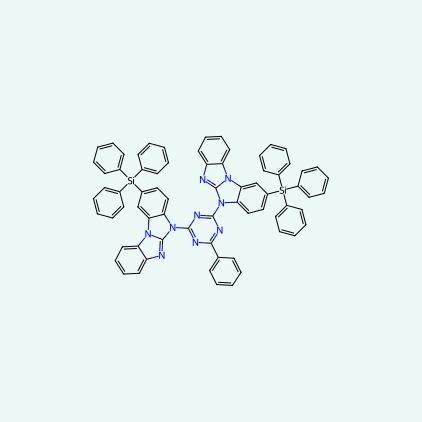 c1ccc(-c2nc(-n3c4ccc([Si](c5ccccc5)(c5ccccc5)c5ccccc5)cc4n4c5ccccc5nc34)nc(-n3c4ccc([Si](c5ccccc5)(c5ccccc5)c5ccccc5)cc4n4c5ccccc5nc34)n2)cc1